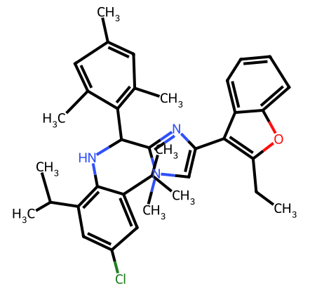 CCc1oc2ccccc2c1-c1cn(C)c(C(Nc2c(C(C)C)cc(Cl)cc2C(C)C)c2c(C)cc(C)cc2C)n1